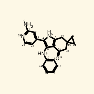 Nc1cc(-c2[nH]c3c(c2Nc2ccccc2)C(=O)CC2(CC2)C3)ccn1